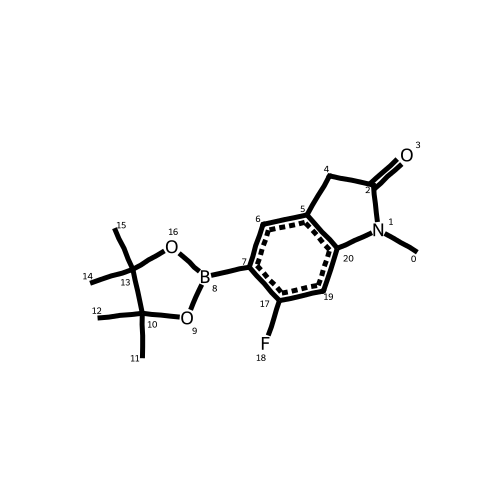 CN1C(=O)Cc2cc(B3OC(C)(C)C(C)(C)O3)c(F)cc21